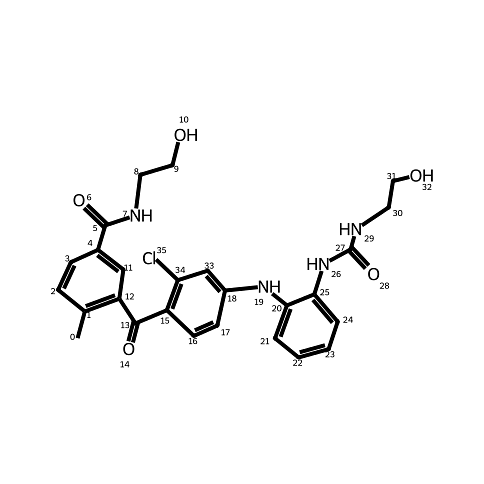 Cc1ccc(C(=O)NCCO)cc1C(=O)c1ccc(Nc2ccccc2NC(=O)NCCO)cc1Cl